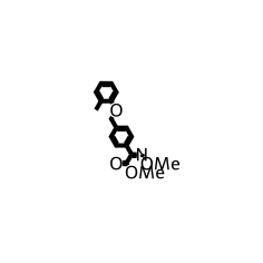 CON=C(C(=O)OC)c1ccc(COc2ccccc2C)cc1